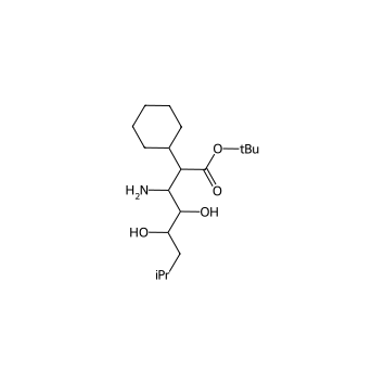 CC(C)CC(O)C(O)C(N)C(C(=O)OC(C)(C)C)C1CCCCC1